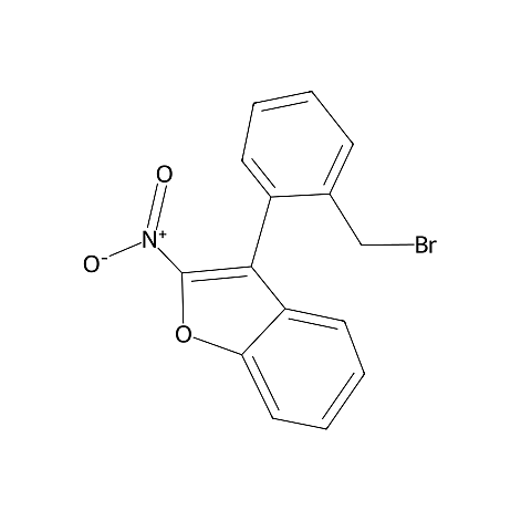 O=[N+]([O-])c1oc2ccccc2c1-c1ccccc1CBr